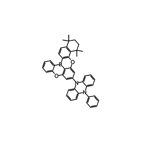 CC1(C)CCC(C)(C)c2c1ccc1c2Oc2cc(N3c4ccccc4N(c4ccccc4)c4ccccc43)cc3c2B1c1ccccc1O3